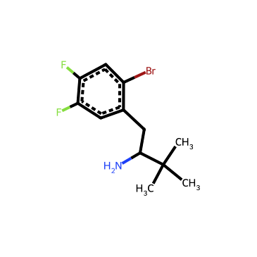 CC(C)(C)C(N)Cc1cc(F)c(F)cc1Br